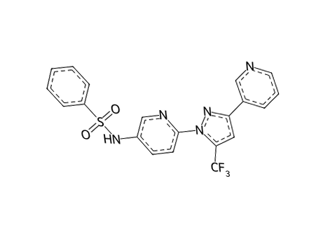 O=S(=O)(Nc1ccc(-n2nc(-c3cccnc3)cc2C(F)(F)F)nc1)c1ccccc1